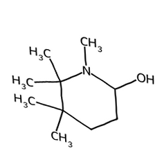 CN1C(O)CCC(C)(C)C1(C)C